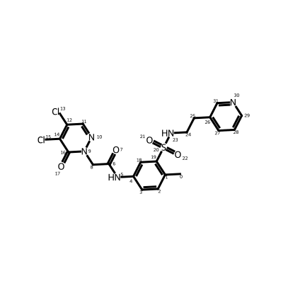 Cc1ccc(NC(=O)Cn2ncc(Cl)c(Cl)c2=O)cc1S(=O)(=O)NCCc1cccnc1